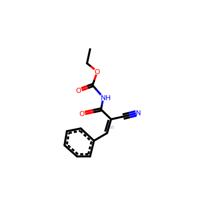 CCOC(=O)NC(=O)/C(C#N)=C\c1ccccc1